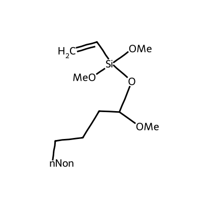 C=C[Si](OC)(OC)OC(CCCCCCCCCCCC)OC